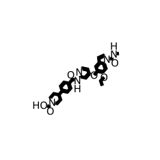 CCOc1cc2c(ccn2C(=O)NC)cc1Oc1ccnc(NC(=O)c2ccc(C3CCN(C(=O)O)CC3)cc2)c1